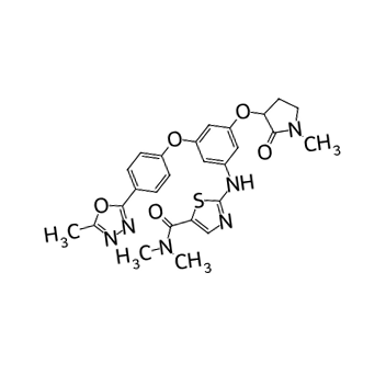 Cc1nnc(-c2ccc(Oc3cc(Nc4ncc(C(=O)N(C)C)s4)cc(OC4CCN(C)C4=O)c3)cc2)o1